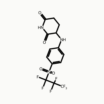 O=C1CCC(Nc2ccc(S(=O)(=O)C(F)(F)C(F)(F)C(F)(F)F)cc2)C(=O)N1